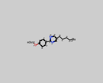 CCCCCCCCOc1ccc(-c2ncc(CCCCC(C)CC)cn2)cc1